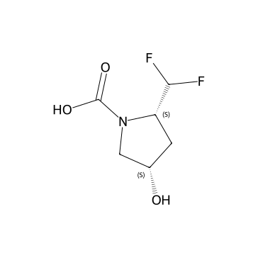 O=C(O)N1C[C@@H](O)C[C@H]1C(F)F